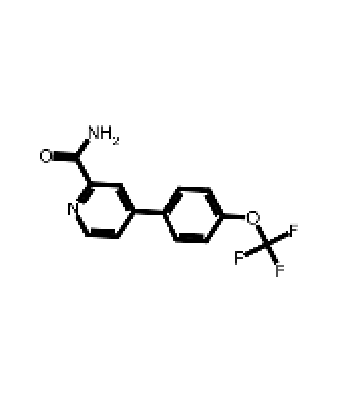 NC(=O)c1cc(-c2ccc(OC(F)(F)F)cc2)ccn1